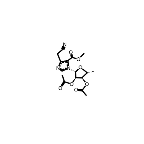 COC(=O)c1c(CC#N)ncn1[C@@H]1O[C@H](C)[C@@H](OC(C)=O)[C@H]1OC(C)=O